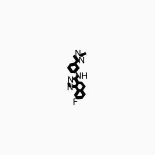 Cc1ncc(-c2cccc(Nc3ncnc4c3CCc3ccc(F)cc3-4)c2)n1C